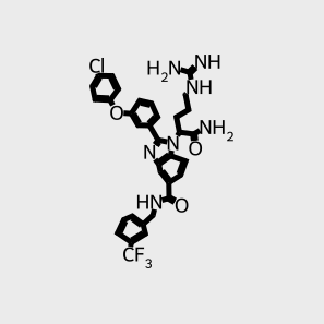 N=C(N)NCCCC(C(N)=O)n1c(-c2cccc(Oc3ccc(Cl)cc3)c2)nc2cc(C(=O)NCc3cccc(C(F)(F)F)c3)ccc21